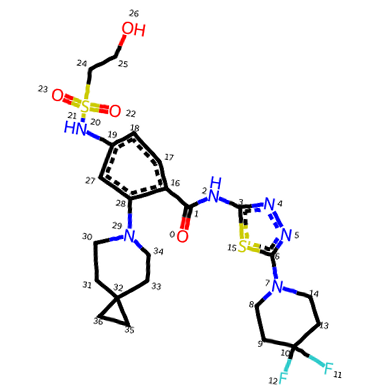 O=C(Nc1nnc(N2CCC(F)(F)CC2)s1)c1ccc(NS(=O)(=O)CCO)cc1N1CCC2(CC1)CC2